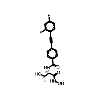 C[C@H](O)[C@H](NC(=O)c1ccc(C#Cc2ccc(F)cc2F)cc1)C(=O)NO